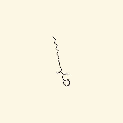 CCCCCCCCCCCCC(=O)[C@@H](N)Cc1ccccc1